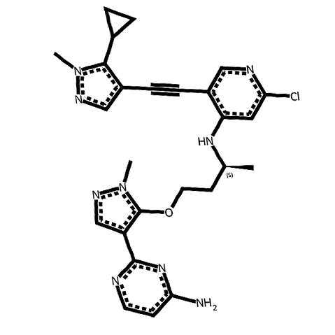 C[C@@H](CCOc1c(-c2nccc(N)n2)cnn1C)Nc1cc(Cl)ncc1C#Cc1cnn(C)c1C1CC1